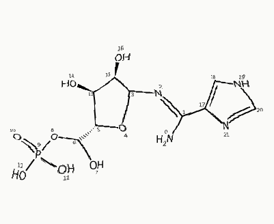 NC(=NC1O[C@H](C(O)OP(=O)(O)O)[C@@H](O)[C@H]1O)c1c[nH]cn1